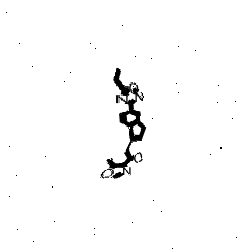 CCc1nc(-c2ccc3c(c2)CC[C@H]3CC(=O)c2ncoc2C)no1